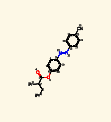 CC(C)CC(C(=O)Oc1ccc(N=Nc2ccc(C#N)cc2)cc1)C(C)C